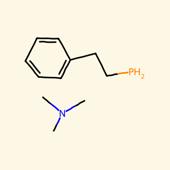 CN(C)C.PCCc1ccccc1